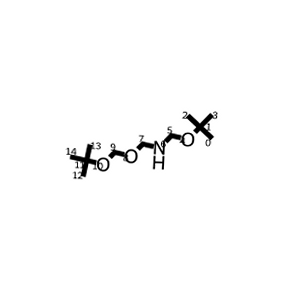 CC(C)(C)OCNCOCOC(C)(C)C